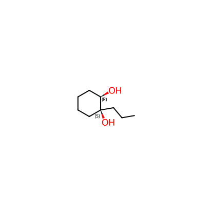 CCC[C@]1(O)CCCC[C@H]1O